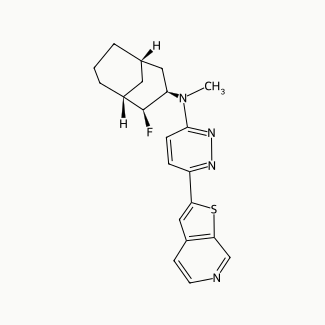 CN(c1ccc(-c2cc3ccncc3s2)nn1)[C@@H]1C[C@H]2CCC[C@H](C2)[C@@H]1F